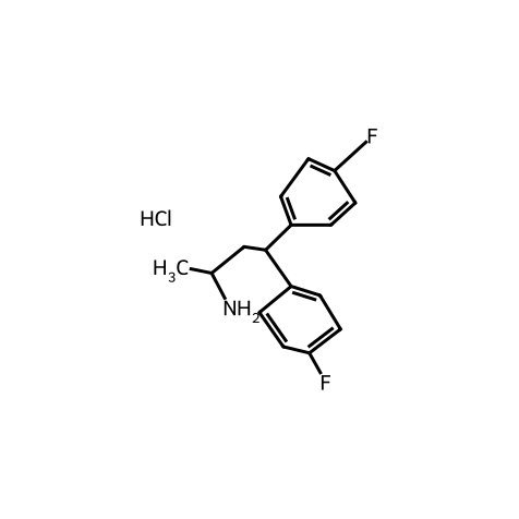 CC(N)CC(c1ccc(F)cc1)c1ccc(F)cc1.Cl